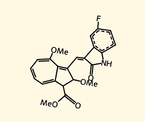 COC(=O)C1C2=CC=CC=C(OC)C2=C(/C=C2\C(=O)Nc3ccc(F)cc32)C1OC